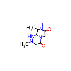 CC1NC(=O)CN2C(=O)CN(C)NC12